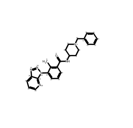 Cc1c(C(=O)NC2CCN(Cc3ccccc3)CC2)cccc1-n1nnc2cccnc21